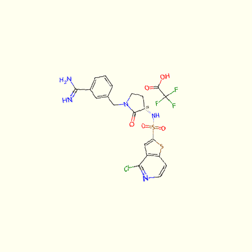 N=C(N)c1cccc(CN2CC[C@H](NS(=O)(=O)c3cc4c(Cl)nccc4s3)C2=O)c1.O=C(O)C(F)(F)F